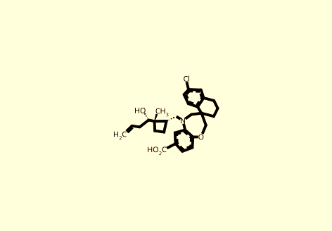 C=CC[C@H](O)[C@@]1(C)CC[C@H]1CN1CC2(CCCc3cc(Cl)ccc32)COc2ccc(C(=O)O)cc21